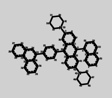 c1ccc2c(-c3c4ccc(N5CCCCC5)cc4c(-c4ccc(-c5cc6ccccc6c6ccccc56)cc4)c4ccc(N5CCCCC5)cc34)cccc2c1